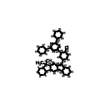 CC1(C)c2ccccc2-c2cc3c4ccccc4n(-c4ccc(Cl)c(-c5nc(-c6ccccc6)nc(-c6ccccc6)n5)c4)c3cc21